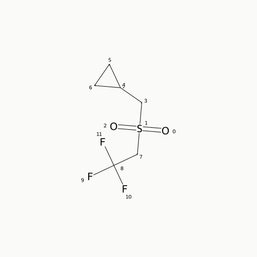 O=S(=O)(C[C]1CC1)CC(F)(F)F